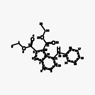 CCOC(=O)c1sc2ncnc(Nc3ccccc3)c2c1C(=O)OCC